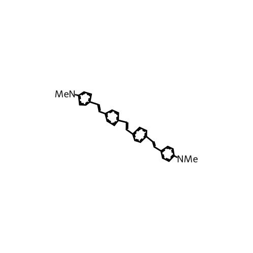 CNc1ccc(C=Cc2ccc(C=Cc3ccc(C=Cc4ccc(NC)cc4)cc3)cc2)cc1